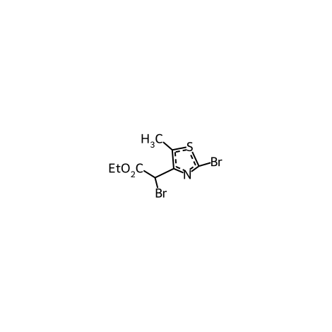 CCOC(=O)C(Br)c1nc(Br)sc1C